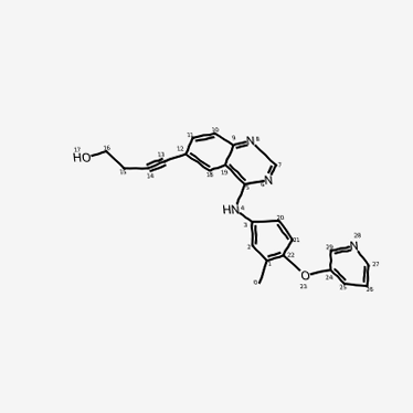 Cc1cc(Nc2ncnc3ccc(C#CCCO)cc23)ccc1Oc1cccnc1